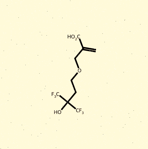 C=C(COCCC(O)(C(F)(F)F)C(F)(F)F)C(=O)O